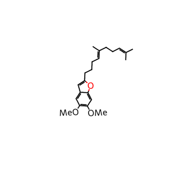 COc1cc2cc(CCC/C=C(\C)CCC=C(C)C)oc2cc1OC